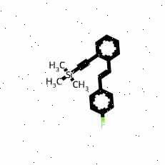 C[Si](C)(C)C#Cc1ccccc1C=Cc1ccc(F)cc1